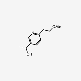 COCCc1ccc([C@@H](C)O)cn1